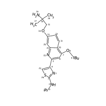 CC(C)Nc1nc(-c2cc(OC(C)(C)C)c3ccc(OCC(C)(C)N)cc3n2)cs1